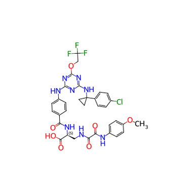 COc1ccc(NC(=O)C(=O)NC[C@H](NC(=O)c2ccc(Nc3nc(NC4(c5ccc(Cl)cc5)CC4)nc(OCC(F)(F)F)n3)cc2)C(=O)O)cc1